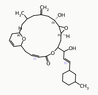 C=C1CC(C)C[C@@H]2CC=CC(C/C=C\C(=O)OC(C(O)/C=C/C3CCCC(C)C3)C[C@@H]3OC3[C@@H](O)C1)O2